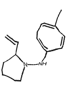 C=CC1CCCN1Nc1ccc(C)cc1